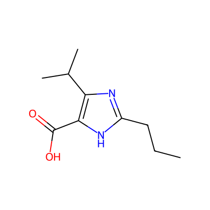 CCCc1nc(C(C)C)c(C(=O)O)[nH]1